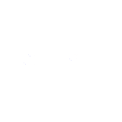 Cc1ccc(S(=O)(=O)NCc2ccc(CCc3c[nH]c4ncccc34)cc2)cc1